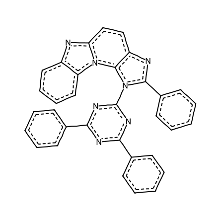 c1ccc(-c2nc(-c3ccccc3)nc(-n3c(-c4ccccc4)nc4ccc5nc6ccccc6n5c43)n2)cc1